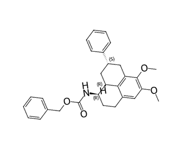 COc1cc2c3c(c1OC)C[C@@H](c1ccccc1)C[C@H]3[C@H](NC(=O)OCc1ccccc1)CC2